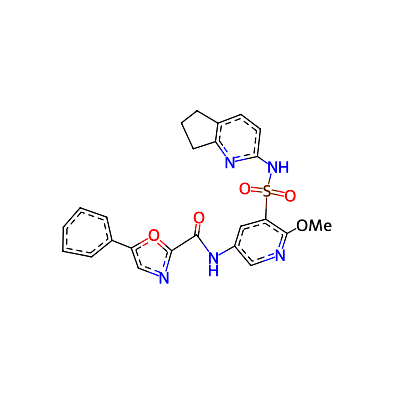 COc1ncc(NC(=O)c2ncc(-c3ccccc3)o2)cc1S(=O)(=O)Nc1ccc2c(n1)CCC2